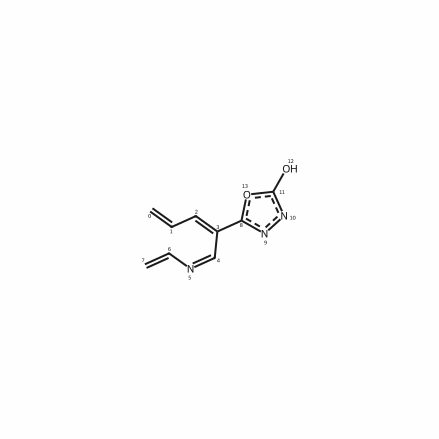 C=C/C=C(\C=N/C=C)c1nnc(O)o1